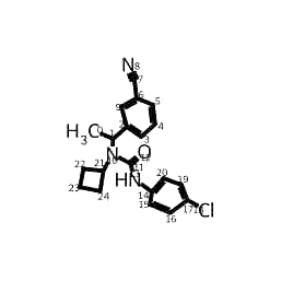 CC(c1cccc(C#N)c1)N(C(=O)Nc1ccc(Cl)cc1)C1CCC1